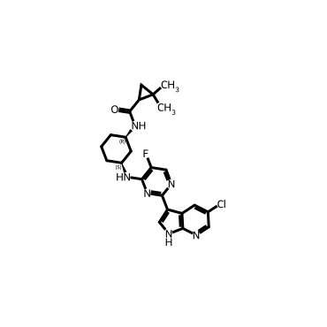 CC1(C)CC1C(=O)N[C@@H]1CCC[C@H](Nc2nc(-c3c[nH]c4ncc(Cl)cc34)ncc2F)C1